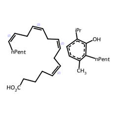 CCCCC/C=C\C/C=C\C/C=C\C/C=C\CCCC(=O)O.CCCCCc1c(C)ccc(C(C)C)c1O